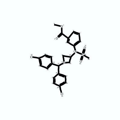 COC(=O)c1cccc(N(C2CN(C(c3ccc(Cl)cc3)c3ccc(Cl)cc3)C2)S(C)(=O)=O)c1